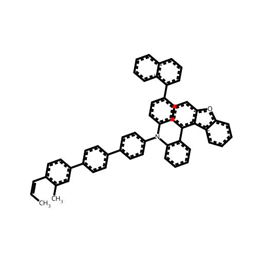 C/C=C\c1ccc(-c2ccc(-c3ccc(N(c4ccc(-c5cccc6ccccc56)cc4)c4ccccc4-c4cccc5oc6ccccc6c45)cc3)cc2)cc1C